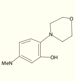 CNc1ccc(N2CCOCC2)c(O)c1